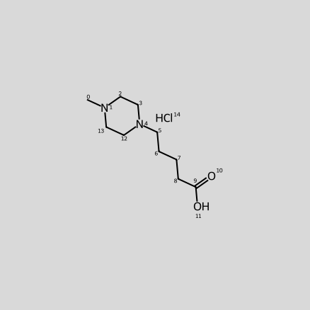 CN1CCN(CCCCC(=O)O)CC1.Cl